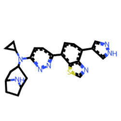 c1nc2c(-c3cn[nH]c3)ccc(-c3ccc(N(C4CC4)C4CC5CCC(C4)N5)nn3)c2s1